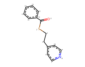 O=C(SCCc1ccncc1)c1ccccc1